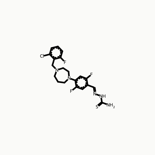 NC(=S)NN=Cc1cc(F)c(N2CCCN(Cc3c(F)cccc3Cl)CC2)cc1F